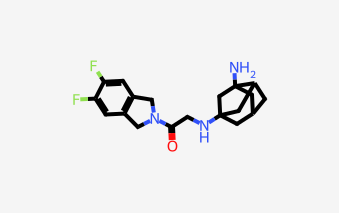 NC12CC3CC1CC(NCC(=O)N1Cc4cc(F)c(F)cc4C1)(C3)C2